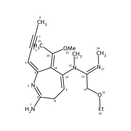 CC#C/C=C1/N=C(N)CC=C(N(C)/C(COCC)=N\C)/C1=C(/C)OC